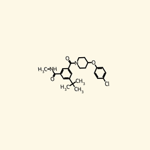 CNC(=O)c1cc(C(=O)N2CCC(Oc3ccc(Cl)cc3)CC2)cc(C(C)(C)C)c1